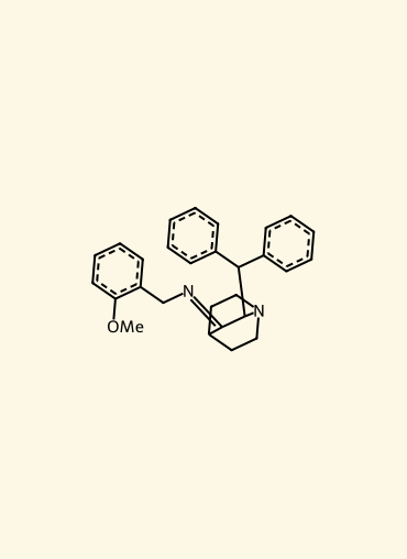 COc1ccccc1C/N=C1\C2CCN(CC2)C1C(c1ccccc1)c1ccccc1